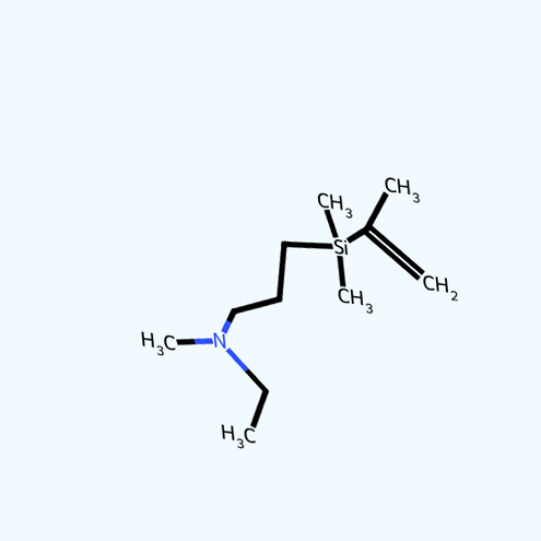 C=C(C)[Si](C)(C)CCCN(C)CC